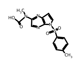 Cc1ccc(S(=O)(=O)n2ccc3nc(N(C)C(=O)O)cnc32)cc1